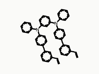 C=Cc1cccc(-c2ccc(N(c3ccccc3)c3cccc(N(c4ccccc4)c4ccc(-c5cccc(C=C)c5)cc4)c3)cc2)c1